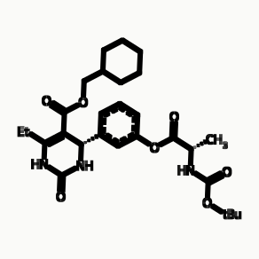 CCC1=C(C(=O)OCC2CCCCC2)[C@H](c2cccc(OC(=O)[C@H](C)NC(=O)OC(C)(C)C)c2)NC(=O)N1